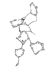 CN(C(=O)Cc1ccccc1Cl)c1c(-c2ccncc2)c(-c2ccc(F)cc2)nn1-c1ccccc1